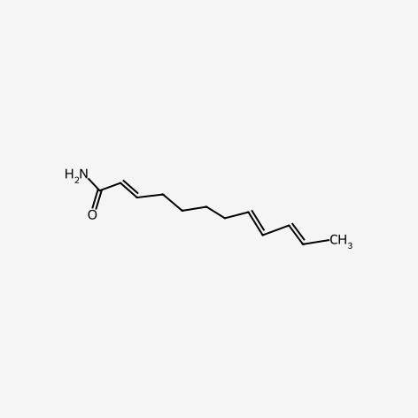 CC=CC=CCCCCC=CC(N)=O